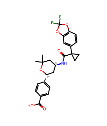 CC1(C)C[C@@H](NC(=O)C2(c3ccc4c(c3)OC(F)(F)O4)CC2)C[C@H](c2ccc(C(=O)O)cc2)O1